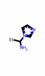 CCC(N)n1[c]ncc1